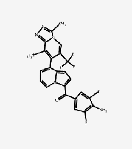 Cc1nnc2c(N)c(-c3cccn4c(C(=O)c5cc(F)c(N)c(F)c5)ccc34)c(C(F)(F)F)cn12